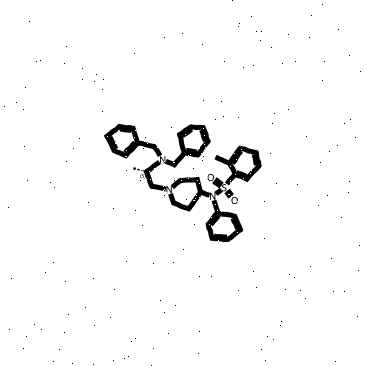 Cc1ccccc1S(=O)(=O)N(c1ccccc1)C1CCN(C[C@H](C)N(Cc2ccccc2)Cc2ccccc2)CC1